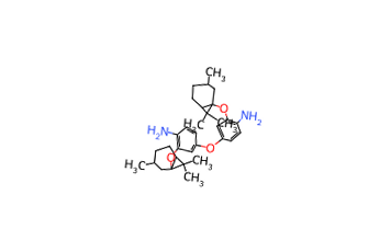 CC1CCC2C(C)(C)C2(Oc2cc(Oc3ccc(N)c(OC45CC(C)CCC4C5(C)C)c3)ccc2N)C1